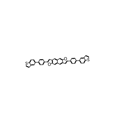 c1cc2cc(-c3ccc(-c4cc5cc6cc7oc(-c8ccc(-c9ccc%10sccc%10c9)cc8)cc7cc6cc5o4)cc3)ccc2s1